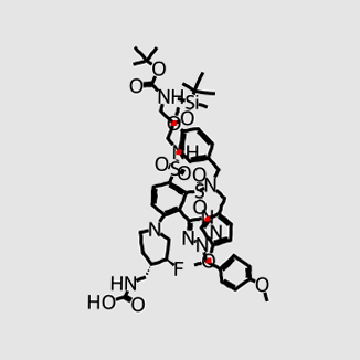 COc1ccc(CN(Cc2ccc(OC)cc2)S(=O)(=O)c2c(S(=O)(=O)NCC(CNC(=O)OC(C)(C)C)O[Si](C)(C)C(C)(C)C)ccc(N3CC[C@@H](CNC(=O)O)[C@H](F)C3)c2-c2nnn(Cc3ccc(OC)cc3)n2)cc1